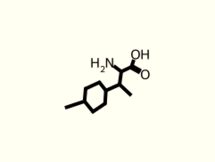 CC1CCC(C(C)C(N)C(=O)O)CC1